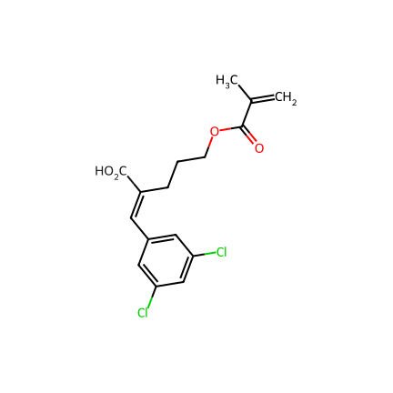 C=C(C)C(=O)OCCCC(=Cc1cc(Cl)cc(Cl)c1)C(=O)O